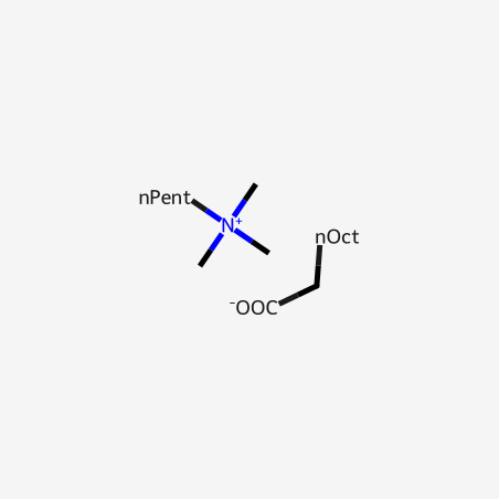 CCCCCCCCCC(=O)[O-].CCCCC[N+](C)(C)C